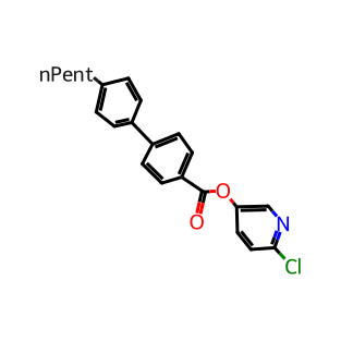 CCCCCc1ccc(-c2ccc(C(=O)Oc3ccc(Cl)nc3)cc2)cc1